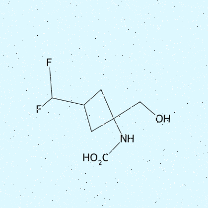 O=C(O)NC1(CO)CC(C(F)F)C1